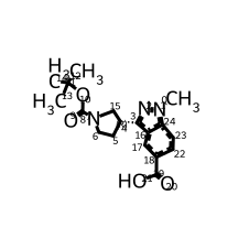 Cn1nc([C@@H]2CCN(C(=O)OC(C)(C)C)C2)c2cc(C(=O)O)ccc21